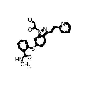 CNC(=O)c1ccccc1Sc1ccc2c(/C=C/c3ccccn3)nn(C(=O)C=O)c2c1